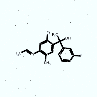 C/C=N/c1cc(CC)c(C(O)(c2cccc(F)c2)C(F)(F)F)cc1C